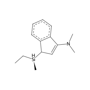 CC[Si@H](C)C1C=C(N(C)C)c2ccccc21